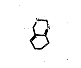 C1=C2C[N]CN=C2CCC1